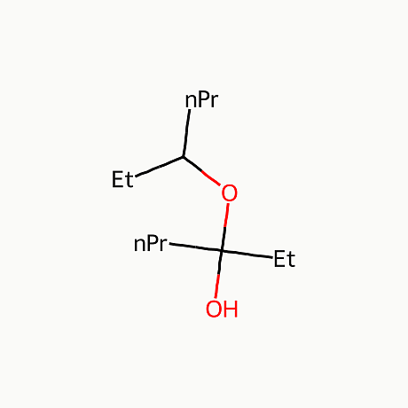 CCCC(CC)OC(O)(CC)CCC